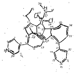 CCC1=Cc2c(-c3ccncc3)cccc2[CH]1[Zr]([Cl])([Cl])([CH]1C(CC)=Cc2c(-c3ccncc3)cccc21)[SiH](C)C